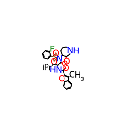 Cc1c(C(=O)NC(CC(C)C)C(=O)N([C@H]2CCCNCC2=O)S(=O)(=O)c2ccccc2F)oc2ccccc12